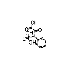 O=C(O)C(=O)C(c1ccccc1)P(=O)(O)O